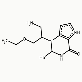 NCC(COCC(F)(F)F)N1c2cc[nH]c2C(=O)NC1S